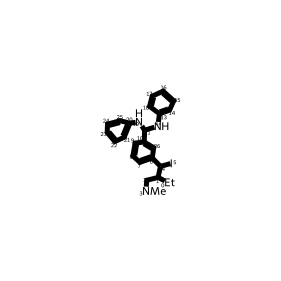 CCC(CNC)C(I)c1cccc(C(Nc2ccccc2)Nc2ccccc2)c1